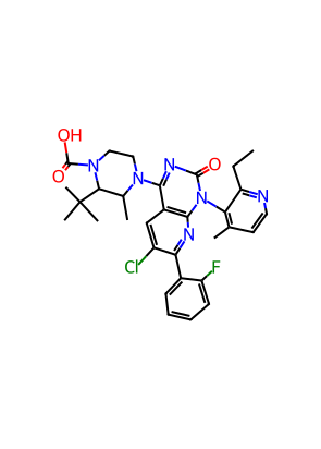 CCc1nccc(C)c1-n1c(=O)nc(N2CCN(C(=O)O)C(C(C)(C)C)C2C)c2cc(Cl)c(-c3ccccc3F)nc21